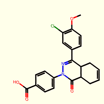 COc1ccc(C2=NN(c3ccc(C(=O)O)cc3)C(=O)C3CC=CCC23)cc1Cl